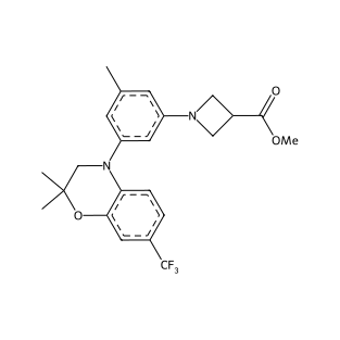 COC(=O)C1CN(c2cc(C)cc(N3CC(C)(C)Oc4cc(C(F)(F)F)ccc43)c2)C1